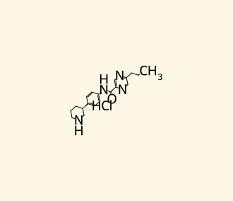 CCCc1cnc(C(=O)Nc2ccc([C@@H]3CCCNC3)cc2)cn1.Cl